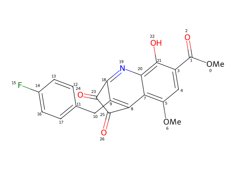 COC(=O)c1cc(OC)c2c3c(Cc4ccc(F)cc4)c(nc2c1O)C(=O)C3=O